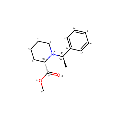 COC(=O)[C@@H]1CCCCN1[C@H](C)c1ccccc1